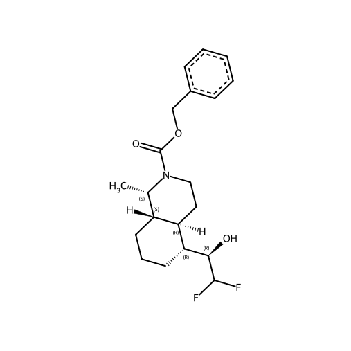 C[C@H]1[C@H]2CCC[C@@H]([C@@H](O)C(F)F)[C@@H]2CCN1C(=O)OCc1ccccc1